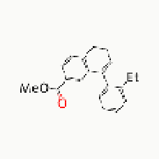 CCc1ccccc1C1=CCCc2ccc(C(=O)OC)cc21